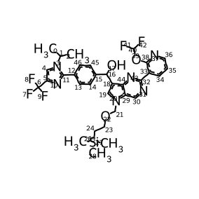 CC(C)n1cc(C(F)(F)F)nc1-c1ccc(C(O)c2cn(COCC[Si](C)(C)C)c3cnc(-c4cccnc4OC(F)F)nc23)cc1